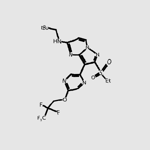 CCS(=O)(=O)c1nn2ccc(NCC(C)(C)C)nc2c1-c1cnc(OCC(F)(F)C(F)(F)F)cn1